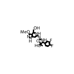 COc1n[nH]c2cc(NC(=O)N[C@@H](c3ccc(F)c(F)c3)C(C)(C)O)nc(CO)c12